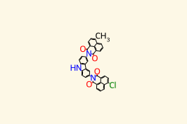 Cc1ccc2c3c(cccc13)C(=O)N(c1ccc3[nH]c4ccc(N5C(=O)c6cccc7c(Cl)ccc(c67)C5=O)cc4c3c1)C2=O